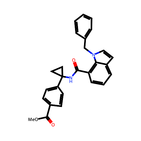 COC(=O)c1ccc(C2(NC(=O)c3cccc4ccn(Cc5ccccc5)c34)CC2)cc1